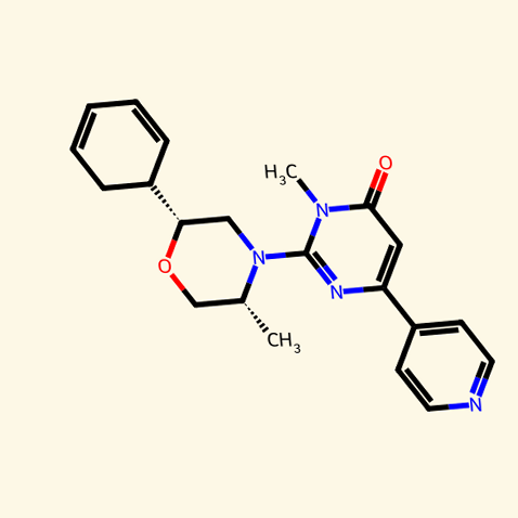 C[C@@H]1CO[C@H](C2C=CC=CC2)CN1c1nc(-c2ccncc2)cc(=O)n1C